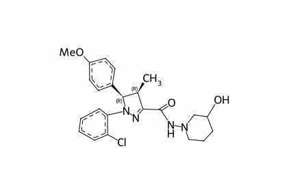 COc1ccc([C@H]2[C@@H](C)C(C(=O)NN3CCCC(O)C3)=NN2c2ccccc2Cl)cc1